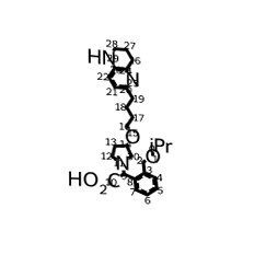 CC(C)OCc1ccccc1C(C(=O)O)N1CC[C@@H](OCCCCc2ccc3c(n2)CCCN3)C1